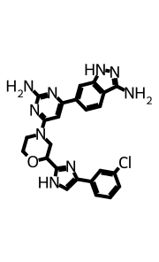 Nc1nc(-c2ccc3c(N)n[nH]c3c2)cc(N2CCOC(c3nc(-c4cccc(Cl)c4)c[nH]3)C2)n1